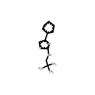 CC(C)(CNc1nc(-c2ccccc2)cs1)[N+](=O)[O-]